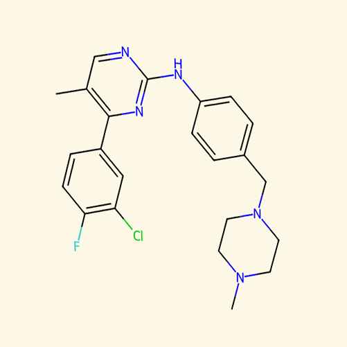 Cc1cnc(Nc2ccc(CN3CCN(C)CC3)cc2)nc1-c1ccc(F)c(Cl)c1